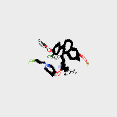 C=C/C(=C\C=C(/C)C1=C(c2ccc(OCC)c(Cl)c2)CCCC2=CC(OF)=CCC=C21)O[C@H]1CCN(CCCF)C1